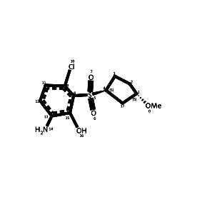 CO[C@H]1CC[C@H](S(=O)(=O)c2c(Cl)ccc(N)c2O)C1